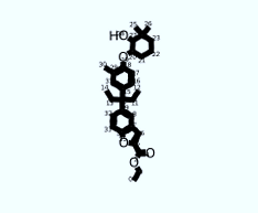 CCOC(=O)c1cc2cc(C(CC)(CC)c3ccc(OC4CCCC(C)(C)C4O)c(C)c3)ccc2o1